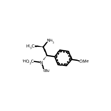 COc1ccc([C@@H]([C@@H](C)N)N(C(=O)O)C(C)(C)C)cc1